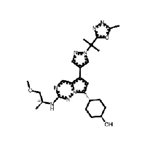 COC[C@H](C)Nc1ncc2c(-c3cnn(C(C)(C)c4nnc(C)o4)c3)cc([C@H]3CC[C@H](O)CC3)n2n1